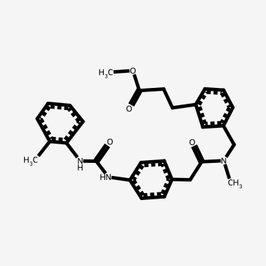 COC(=O)CCc1cccc(CN(C)C(=O)Cc2ccc(NC(=O)Nc3ccccc3C)cc2)c1